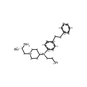 CCC(C)[C@H](N)CN1CCC(N(CCC(C)C)c2ccc(CCc3ccccc3)cc2)CC1